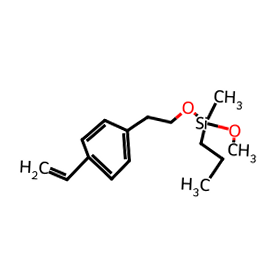 C=Cc1ccc(CCO[Si](C)(CCC)OC)cc1